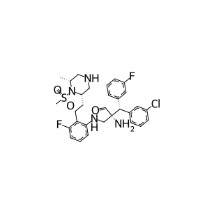 C[C@@H]1CNC[C@H](CCc2c(F)cccc2NC[C@@](N)(C=O)[C@H](c2cccc(F)c2)c2cccc(Cl)c2)N1S(C)(=O)=O